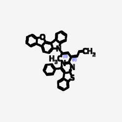 C=C/C=C(\C=C(/C)n1c2ccccc2c2c3oc4ccccc4c3ccc21)c1nc(-c2ccccc2)c2c(n1)sc1ccccc12